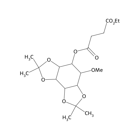 CCOC(=O)CCC(=O)OC1C(OC)C2OC(C)(C)OC2C2OC(C)(C)OC12